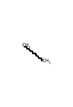 CCCCC/C=C/CCCCCCCC